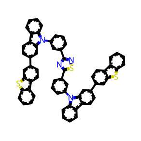 c1cc(-c2nsc(-c3cccc(-n4c5ccccc5c5ccc(-c6ccc7c(c6)sc6ccccc67)cc54)c3)n2)cc(-n2c3ccccc3c3ccc(-c4ccc5c(c4)sc4ccccc45)cc32)c1